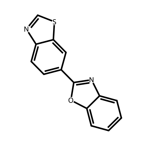 c1ccc2oc(-c3ccc4ncsc4c3)nc2c1